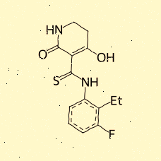 CCc1c(F)cccc1NC(=S)C1=C(O)CCNC1=O